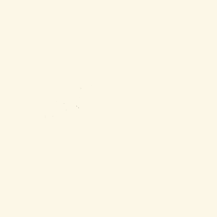 CCCCCCCCCCCCC(CCO)[N+](C)(C)C(CCO)(CC(=O)O)C(=O)[O-]